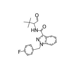 CC(C)(C)C(C=O)NC(=O)c1nn(Cc2ccc(F)cc2)c2ccccc12